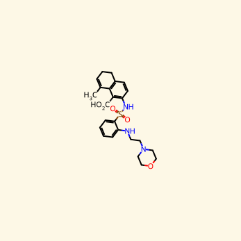 CC1=CCCc2ccc(NS(=O)(=O)c3ccccc3NCCN3CCOCC3)c(C(=O)O)c21